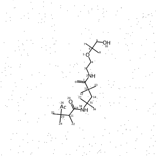 C=C(NCCOC(C)(C)CO)C(C)(C)CC(C)(C)NC(=O)C(C)C(C)(C)C(C)=O